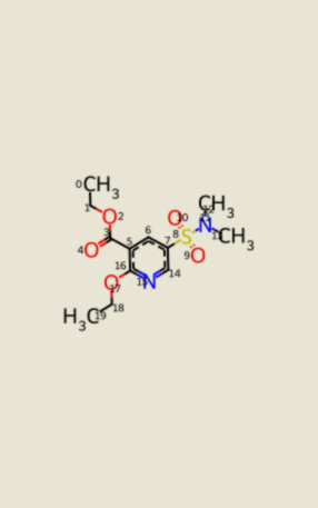 CCOC(=O)c1cc(S(=O)(=O)N(C)C)cnc1OCC